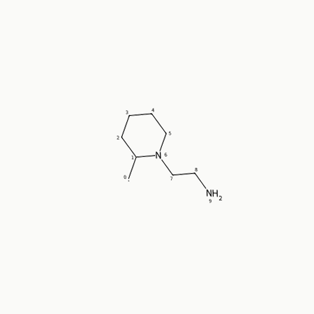 [CH2]C1CCCCN1CCN